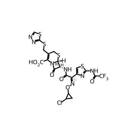 O=C(O)C1=C(CSc2nncs2)CS[C@@H]2[C@H](NC(=O)/C(=N\OC3CC3Cl)c3csc(NC(=O)C(F)(F)F)n3)C(=O)N12